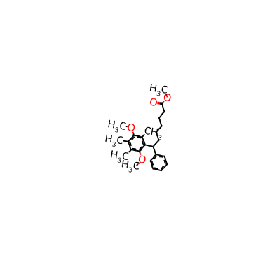 COC(=O)CCCCCC(c1ccccc1)c1c(C)c(OC)c(C)c(C)c1OC